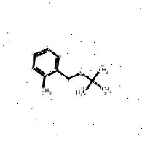 Cc1ccccc1CSC(C)(C)C